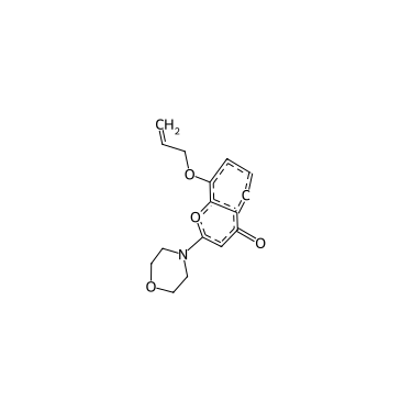 C=CCOc1cccc2c(=O)cc(N3CCOCC3)oc12